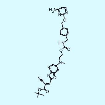 CN(CCOC(=O)NCc1ccc(COc2nccc(N)n2)cc1)c1ccc2nc(/C=C(\C#N)C(=O)OC(C)(C)C)oc2c1